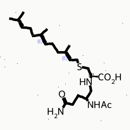 CC(=O)NC(CCC(N)=O)CN[C@@H](CSC/C=C(\C)CC/C=C(\C)CCC=C(C)C)C(=O)O